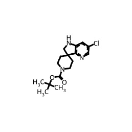 CC(C)(C)OC(=O)N1CCC2(CC1)CNc1cc(Cl)cnc12